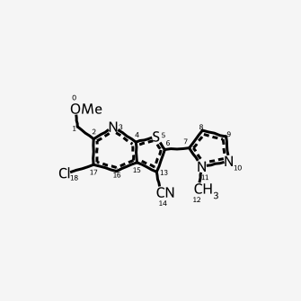 COCc1nc2sc(-c3ccnn3C)c(C#N)c2cc1Cl